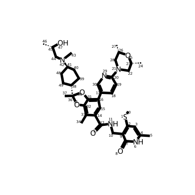 CSc1cc(C)[nH]c(=O)c1CNC(=O)c1cc(-c2ccc(N3C[C@@H](C)O[C@@H](C)C3)nc2)c2c(c1C)OC(C)([C@H]1CC[C@H](N(C)C[C@H](C)O)CC1)O2